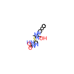 Cc1nc(N2CCC3(CC2)Cc2ccccc2C3)c(CO)nc1Sc1ccnc2c1NC(=O)C1(COC1)N2C